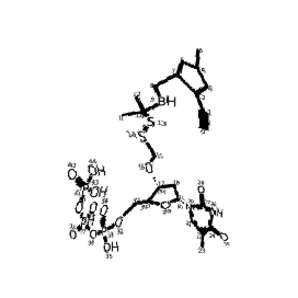 C#CC1CC(C)CC1CBC(C)(C)SSCO[C@@H]1C[C@H](n2cc(C)c(=O)[nH]c2=O)OC1COP(=O)(O)OP(=O)(O)OP(=O)(O)O